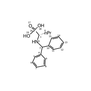 CCC[C@H](NC(c1ccccc1)c1ccccc1)P(=O)(O)O